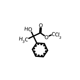 CC(O)(C(=O)OC(Cl)(Cl)Cl)c1ccccc1